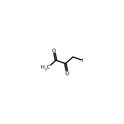 CC(=O)C(=O)CI